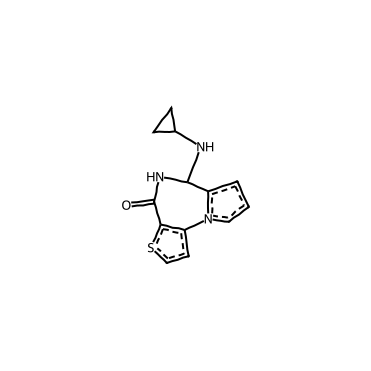 O=C1NC(NC2CC2)c2cccn2-c2ccsc21